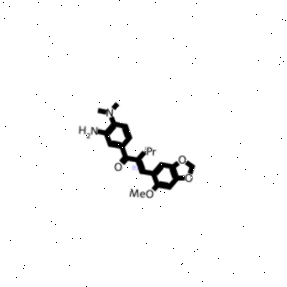 COc1cc2c(cc1/C=C(/C(=O)c1ccc(N(C)C)c(N)c1)C(C)C)OCO2